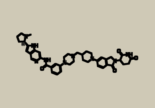 CN1CCC[C@@H]1c1cc2cnc(NC(=O)c3cccc(N4CCN(CC5CCN(c6ccc7c(c6)CN(C6CCC(=O)NC6=O)C7=O)CC5)CC4)c3)cc2[nH]1